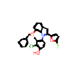 Cc1c(-n2c(-c3ccc(F)o3)cc3cccc(OCc4ccccc4)c32)ccc(O)c1Cl